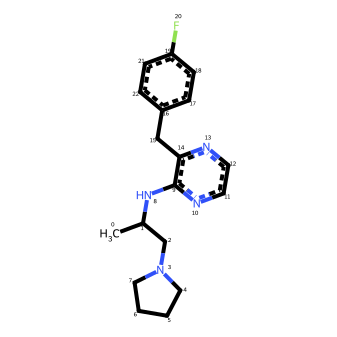 CC(CN1CCCC1)Nc1nccnc1Cc1ccc(F)cc1